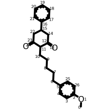 COc1ccc(CCCCCC2C(=O)CC(c3ccccc3)CC2=O)cc1